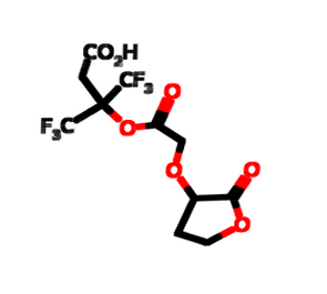 O=C(O)CC(OC(=O)COC1CCOC1=O)(C(F)(F)F)C(F)(F)F